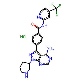 Cl.Nc1ncnc2c1c(-c1ccc(C(=O)Nc3cc(C(F)(F)F)ccn3)cc1)nn2C1CCCNC1